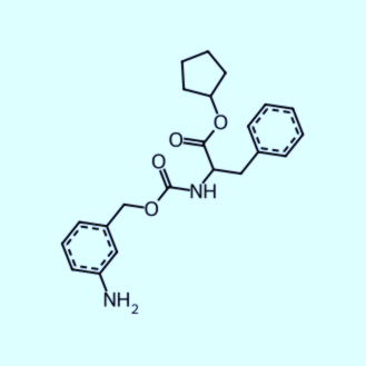 Nc1cccc(COC(=O)NC(Cc2ccccc2)C(=O)OC2CCCC2)c1